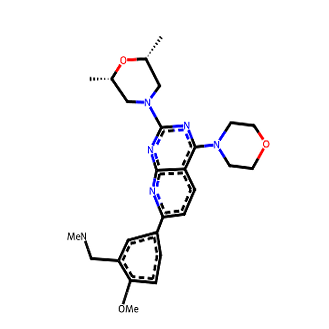 CNCc1cc(-c2ccc3c(N4CCOCC4)nc(N4C[C@@H](C)O[C@@H](C)C4)nc3n2)ccc1OC